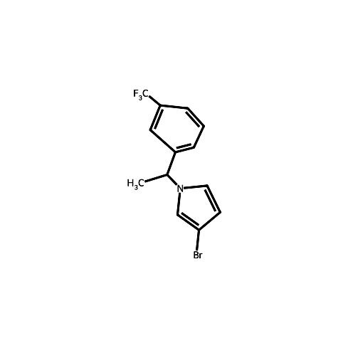 CC(c1cccc(C(F)(F)F)c1)n1ccc(Br)c1